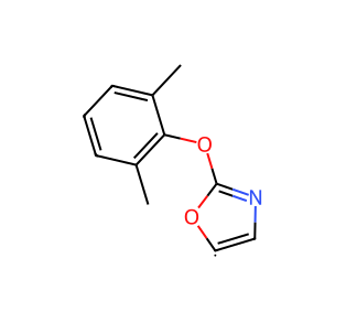 Cc1cccc(C)c1Oc1nc[c]o1